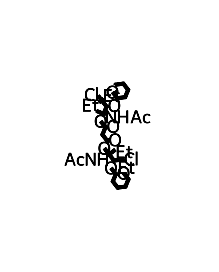 CCC(Cl)(CC)[C@@H](OC1CCCCO1)C(C)(NC(C)=O)OC(=O)CC(=O)OC(C)(NC(C)=O)[C@H](OC1CCCCO1)C(Cl)(CC)CC